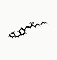 CCOCCC(O)/C=C/c1ccc(Cn2ccnc2)cc1